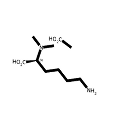 CC(=O)O.CN(C)[C@@H](CCCCN)C(=O)O